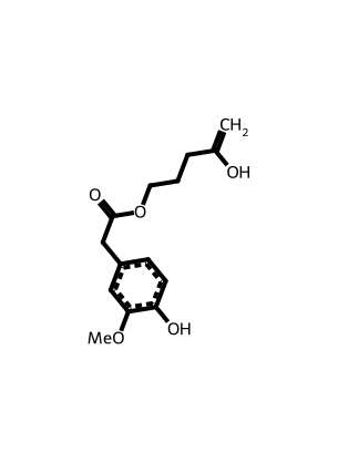 C=C(O)CCCOC(=O)Cc1ccc(O)c(OC)c1